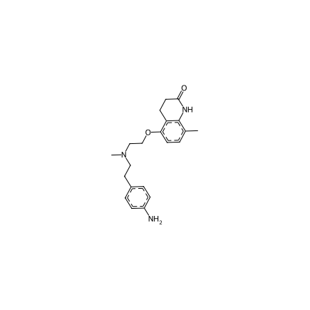 Cc1ccc(OCCN(C)CCc2ccc(N)cc2)c2c1NC(=O)CC2